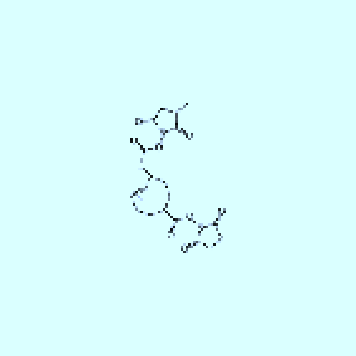 CC1CC(=O)N(OC(=O)OC2/C=C/CCC(C(=O)ON3C(=O)CCC3=O)CC2)C1=O